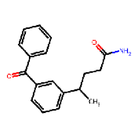 CC(CCC(N)=O)c1cccc(C(=O)c2ccccc2)c1